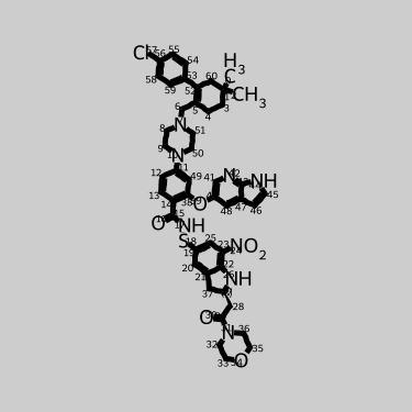 CC1(C)CCC(CN2CCN(c3ccc(C(=O)NSc4cc5c(c([N+](=O)[O-])c4)N[C@@H](CC(=O)N4CCOCC4)C5)c(Oc4cnc5[nH]ccc5c4)c3)CC2)=C(c2ccc(Cl)cc2)C1